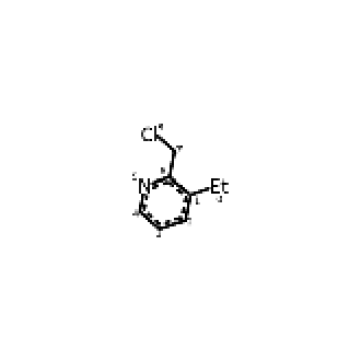 CCc1cccnc1CCl